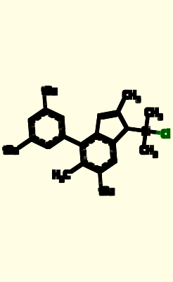 CC1=Cc2c(cc(C(C)(C)C)c(C)c2-c2cc(C(C)(C)C)cc(C(C)(C)C)c2)C1[Si](C)(C)Cl